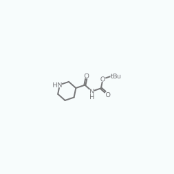 CC(C)(C)OC(=O)NC(=O)C1CCCNC1